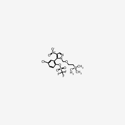 C[Si](C)(C)CCOCn1ncc([N+](=O)[O-])c1-c1cc(Cl)ccc1OS(=O)(=O)C(F)(F)F